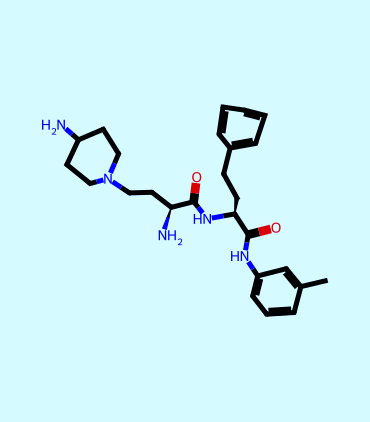 Cc1cccc(NC(=O)[C@H](CCc2ccccc2)NC(=O)[C@@H](N)CCN2CCC(N)CC2)c1